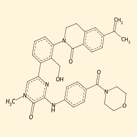 C=C(C)c1ccc2c(c1)CCN(c1cccc(-c3cn(C)c(=O)c(Nc4ccc(C(=O)N5CCOCC5)cc4)n3)c1CO)C2=O